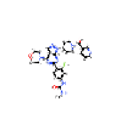 CCNC(=O)Nc1ccc(-c2nc(N3CCOCC3)c3cnn(C4CCN(C(=O)c5cccnc5)CC4)c3n2)c(F)c1